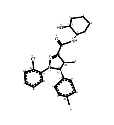 C[C@@H]1C(C(=O)N[C@H]2CCCC[C@@H]2O)=NN(c2ccccc2Cl)[C@@H]1c1ccc(I)cc1